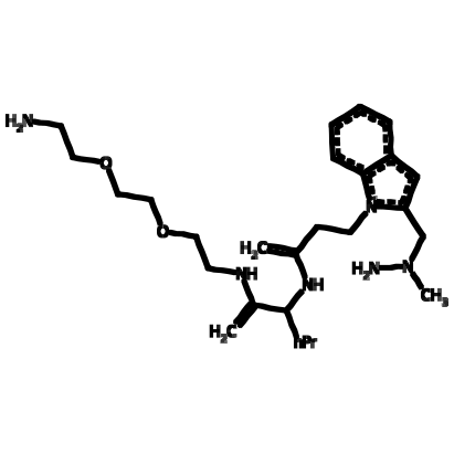 C=C(CCn1c(CN(C)N)cc2ccccc21)NC(CCC)C(=C)NCCOCCOCCN